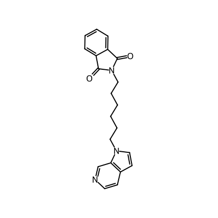 O=C1c2ccccc2C(=O)N1CCCCCCn1ccc2ccncc21